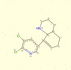 Clc1cc(C2=CCCC3CCCNC23)cnc1Cl